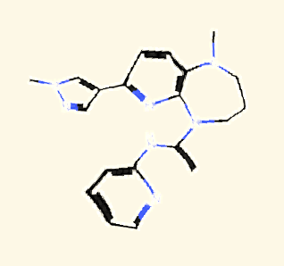 C=C(Nc1ccccn1)N1CCCN(C)c2ccc(-c3cnn(C)c3)nc21